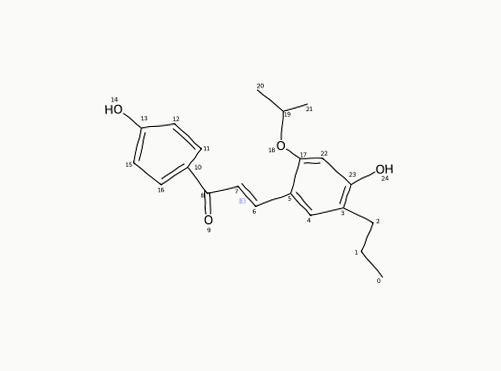 CCCc1cc(/C=C/C(=O)c2ccc(O)cc2)c(OC(C)C)cc1O